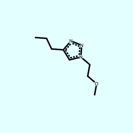 CCCc1cn(CCOC)nn1